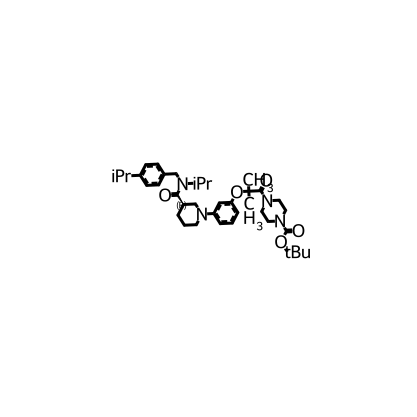 CC(C)c1ccc(CN(C(=O)[C@@H]2CCCN(c3cccc(OC(C)(C)C(=O)N4CCN(C(=O)OC(C)(C)C)CC4)c3)C2)C(C)C)cc1